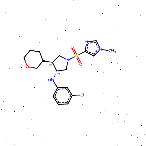 Cn1cnc(S(=O)(=O)N2C[C@H](Nc3cccc(Cl)c3)[C@@H](C3CCCOC3)C2)c1